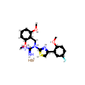 Br.COc1ccc(F)cc1-c1csc(N(Cc2c(OC)cccc2OC)C(=N)N)n1